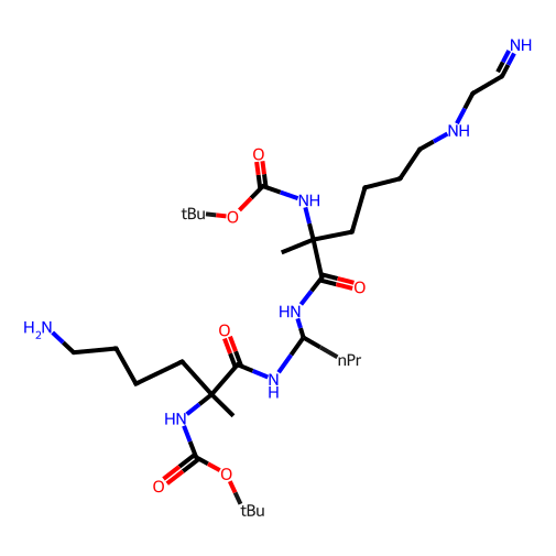 CCCC(NC(=O)C(C)(CCCCN)NC(=O)OC(C)(C)C)NC(=O)C(C)(CCCCNCC=N)NC(=O)OC(C)(C)C